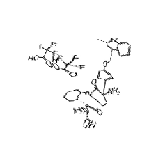 Cc1cc(COc2ccc(C3(N)CCN([C@@H]4CCCC[C@H]4C(=O)NO)C3=O)cc2)c2ccccc2n1.O=C(O)C(F)(F)F.O=C(O)C(F)(F)F